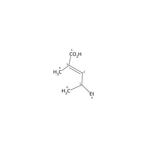 [CH2]C(C=C(C)C(=O)O)CC